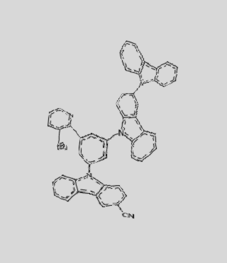 CC(C)(C)c1cccnc1-c1cc(-n2c3ccccc3c3cc(C#N)ccc32)cc(-n2c3ccccc3c3cc(-n4c5ccccc5c5ccccc54)ccc32)c1